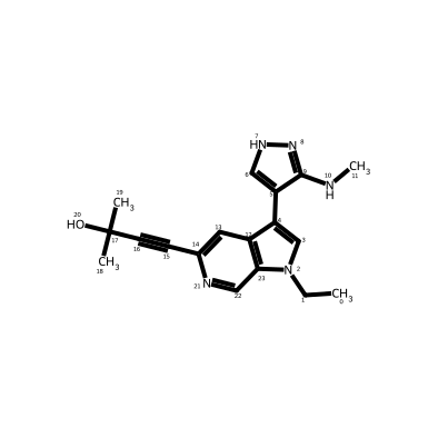 CCn1cc(-c2c[nH]nc2NC)c2cc(C#CC(C)(C)O)ncc21